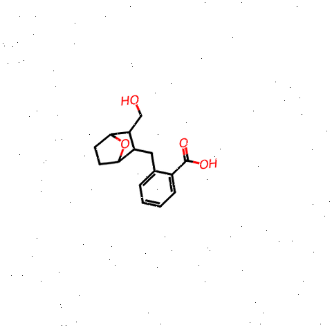 O=C(O)c1ccccc1CC1C2CCC(O2)C1CO